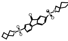 O=C1c2cc(S(=O)(=O)N3CC4(CCC4)C3)ccc2-c2ccc(S(=O)(=O)N3CC4(CCC4)C3)cc21